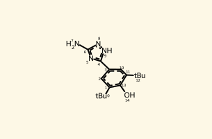 CC(C)(C)c1cc(-c2nc(N)n[nH]2)cc(C(C)(C)C)c1O